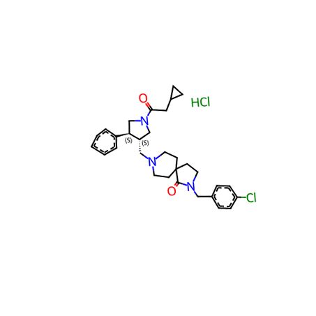 Cl.O=C(CC1CC1)N1C[C@H](CN2CCC3(CC2)CCN(Cc2ccc(Cl)cc2)C3=O)[C@@H](c2ccccc2)C1